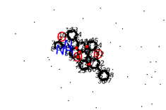 C1=CCC(N2C3=C(CCN3)Oc3cccc(-c4ccc5c(c4)Oc4ccccc4C54C5=C(C=C(c6ccccc6)CC5)Oc5ccccc54)c32)C=C1